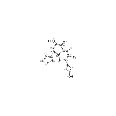 Cc1c(F)c(N2CC(O)C2)nc2c1c(=O)c(C(=O)O)cn2-c1ncns1